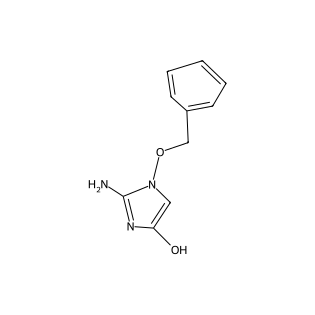 Nc1nc(O)cn1OCc1ccccc1